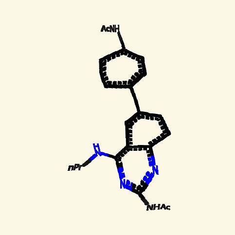 CCCNc1nc(NC(C)=O)nc2ccc(-c3ccc(NC(C)=O)cc3)cc12